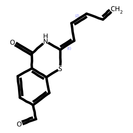 C=C/C=C\C=C1/NC(=O)c2ccc(C=O)cc2S1